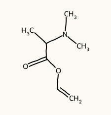 C=COC(=O)C(C)N(C)C